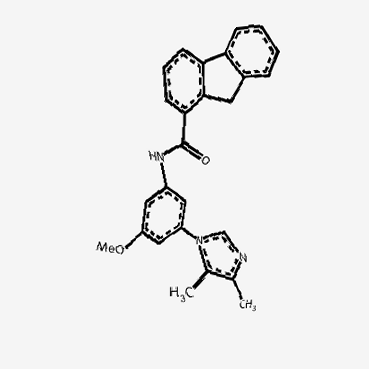 COc1cc(NC(=O)c2cccc3c2Cc2ccccc2-3)cc(-n2cnc(C)c2C)c1